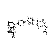 C=CCN1CCC(Oc2ccc(N3CCN(c4cccc5[nH]c(=O)oc45)CC3)cc2)CC1